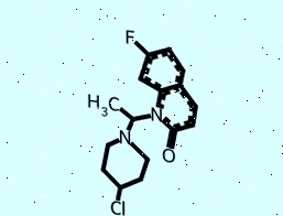 CC(N1CCC(Cl)CC1)n1c(=O)ccc2ccc(F)cc21